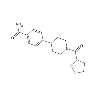 NC(=O)c1ccc(C2CCN(C(=O)C3CCCO3)CC2)cc1